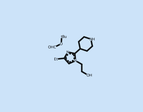 CC(C)(C)OC=O.CCc1cn(CCO)c(C2CCNCC2)n1